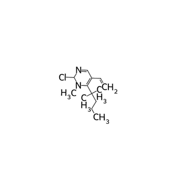 C=CC1=C(C(C)(C)CCC)N(C)C(Cl)N=C1